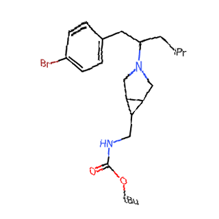 CC(C)CC(Cc1ccc(Br)cc1)N1CC2C(CNC(=O)OC(C)(C)C)C2C1